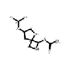 O=C(OC1NCC12CC(OC(F)F)CO2)C(F)(F)F